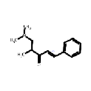 CC(CN(C)C)C(=O)/C=C/c1ccccc1